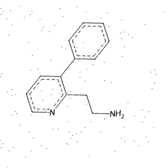 NCCc1ncccc1-c1ccccc1